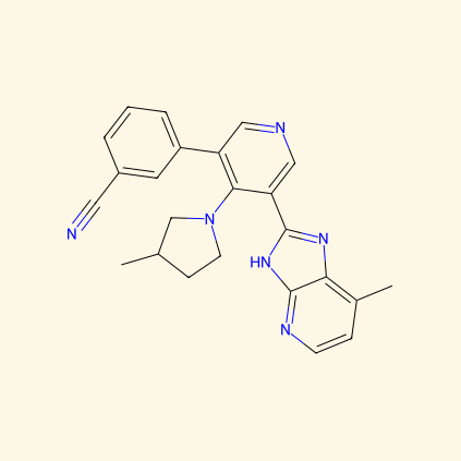 Cc1ccnc2[nH]c(-c3cncc(-c4cccc(C#N)c4)c3N3CCC(C)C3)nc12